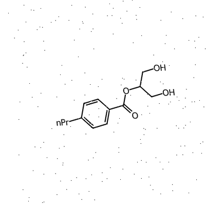 CCCc1ccc(C(=O)OC(CO)CO)cc1